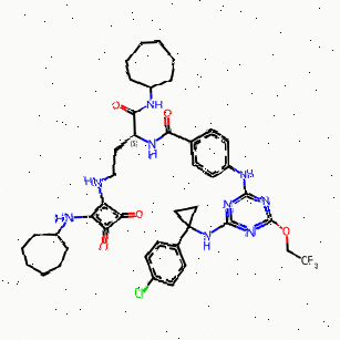 O=C(N[C@@H](CCNc1c(NC2CCCCCC2)c(=O)c1=O)C(=O)NC1CCCCCC1)c1ccc(Nc2nc(NC3(c4ccc(Cl)cc4)CC3)nc(OCC(F)(F)F)n2)cc1